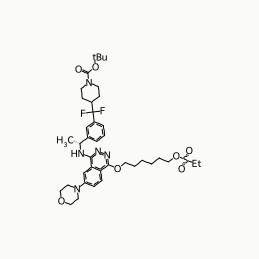 CCS(=O)(=O)OCCCCCCOc1nnc(N[C@H](C)c2cccc(C(F)(F)C3CCN(C(=O)OC(C)(C)C)CC3)c2)c2cc(N3CCOCC3)ccc12